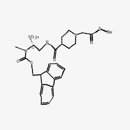 CN(C(=O)OCC1c2ccccc2-c2ccccc21)[C@@H](CNC(=O)C1CCN(CC(=O)OC(C)(C)C)CC1)C(=O)O